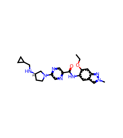 CCOc1cc2nn(C)cc2cc1NC(=O)c1cnc(N2CC[C@@H](NCC3CC3)C2)cn1